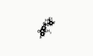 CCNc1cc(F)ccc1CNC(=O)N1CCC2(CC1)CC(=O)c1cc(F)ccc1N2C